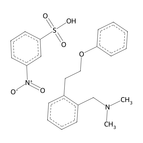 CN(C)Cc1ccccc1CCOc1ccccc1.O=[N+]([O-])c1cccc(S(=O)(=O)O)c1